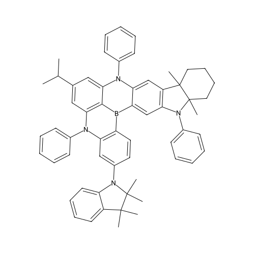 CC(C)c1cc2c3c(c1)N(c1ccccc1)c1cc4c(cc1B3c1ccc(N3c5ccccc5C(C)(C)C3(C)C)cc1N2c1ccccc1)N(c1ccccc1)C1(C)CCCCC41C